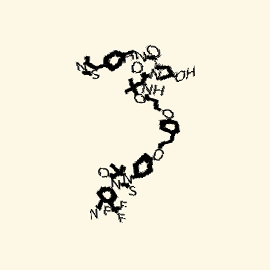 Cc1ncsc1-c1ccc(CNC(=O)[C@@H]2C[C@@H](O)CN2C(=O)C(NC(=O)CCOc2ccc(CCOc3ccc(N4C(=S)N(c5ccc(C#N)c(C(F)(F)F)c5)C(=O)C4(C)C)cc3)cc2)C(C)(C)C)cc1